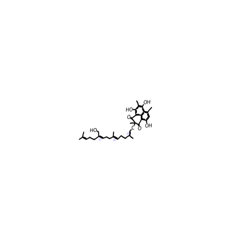 CC(C)=CCC/C(=C/CC/C(C)=C/CC/C(C)=C/CC1(C)C(=O)c2c(O)cc(C)c3c(O)c(C)c(O)c(c23)C1=O)CO